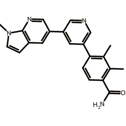 Cc1c(C(N)=O)ccc(-c2cncc(-c3cnc4c(ccn4C)c3)c2)c1C